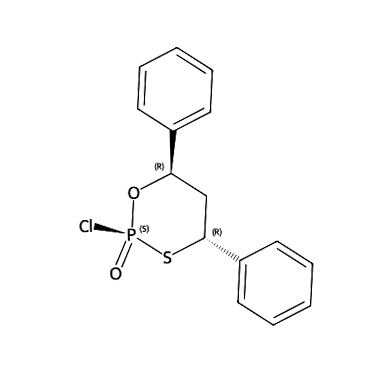 O=[P@]1(Cl)O[C@@H](c2ccccc2)C[C@H](c2ccccc2)S1